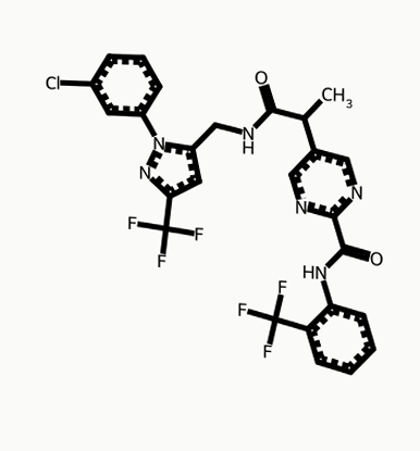 CC(C(=O)NCc1cc(C(F)(F)F)nn1-c1cccc(Cl)c1)c1cnc(C(=O)Nc2ccccc2C(F)(F)F)nc1